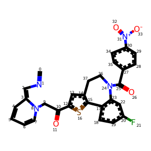 C=N/C=C1/C=CC=CN1CC(=O)c1cc2c(s1)-c1ccc(F)cc1N(C(=O)c1ccc([N+](=O)[O-])cc1)CC2